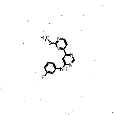 CSc1nccc(-c2cc(Nc3cccc(F)c3)ncn2)n1